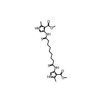 COC(=O)c1c(NC(=S)CCCCCCCC(=S)Nc2c[nH]c(C)c2C(=O)OC)c[nH]c1C